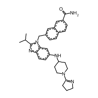 CC(C)c1nc2ccc(NC3CCN(C4=NCCC4)CC3)cc2n1Cc1ccc2ccc(C(N)=O)cc2c1